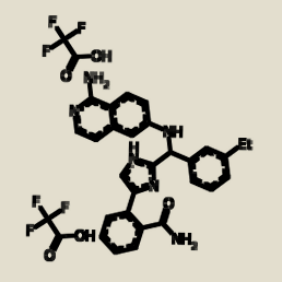 CCc1cccc(C(Nc2ccc3c(N)nccc3c2)c2nc(-c3ccccc3C(N)=O)c[nH]2)c1.O=C(O)C(F)(F)F.O=C(O)C(F)(F)F